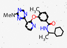 CNc1ncnc(-c2cccnc2Oc2cc(C(=O)N[C@H](C)C3CCCCC3)ccc2C)n1